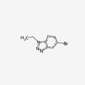 CCn1nnc2cc(Br)ccc21